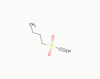 C#CS(=O)(=O)CCCC